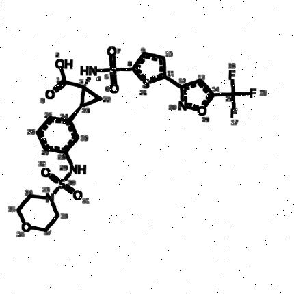 O=C(O)[C@@]1(NS(=O)(=O)c2ccc(-c3cc(C(F)(F)F)on3)s2)C[C@H]1c1cccc(NS(=O)(=O)N2CCOCC2)c1